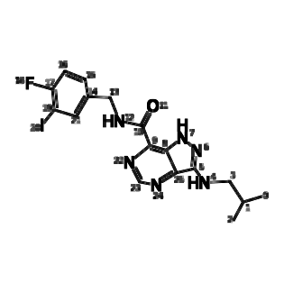 CC(C)CNc1n[nH]c2c(C(=O)NCc3ccc(F)c(I)c3)ncnc12